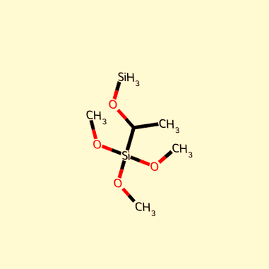 CO[Si](OC)(OC)C(C)O[SiH3]